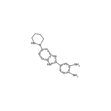 Nc1ccc(-c2nc3cc(N4CCCCN4)ccc3[nH]2)cc1N